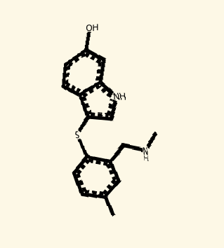 CNCc1cc(C)ccc1Sc1c[nH]c2cc(O)ccc12